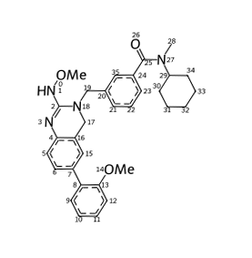 CONC1=Nc2ccc(-c3ccccc3OC)cc2CN1Cc1cccc(C(=O)N(C)C2CCCCC2)c1